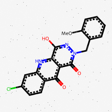 COc1ccccc1Cn1nc(O)c2[nH]c3cc(Cl)ccc3c(=O)c2c1=O